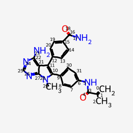 C=C(C)C(=O)Nc1ccc(-c2c(-c3ccc(C(N)=O)cc3)c3c(N)ncnc3n2C)cc1